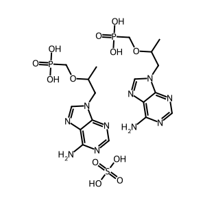 CC(Cn1cnc2c(N)ncnc21)OCP(=O)(O)O.CC(Cn1cnc2c(N)ncnc21)OCP(=O)(O)O.O=S(=O)(O)O